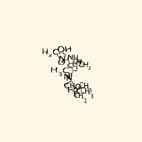 C=C=C(CCC(CC)n1cc(-c2ccc(OC)c3c(C)c(C(N)C(=O)N4CCC(C)(O)CC4)cc(C)c23)cn1)OC(C)(C)C